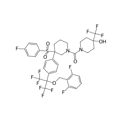 O=C(N1CCC(O)(C(F)(F)F)CC1)N1CCCC(c2ccc(C(OCc3c(F)cccc3F)(C(F)(F)F)C(F)(F)F)cc2)(S(=O)(=O)c2ccc(F)cc2)C1